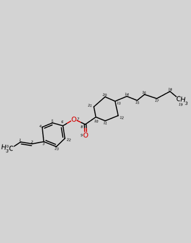 CC=Cc1ccc(OC(=O)C2CCC(CCCCCC)CC2)cc1